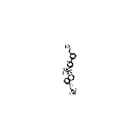 O=C(O)COc1cccc2c1CCCC2NS(=O)(=O)c1ccc(-c2cccc(CCO)c2)nc1